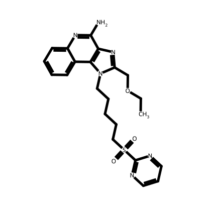 CCOCc1nc2c(N)nc3ccccc3c2n1CCCCCS(=O)(=O)c1ncccn1